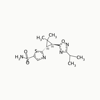 CC(C)c1noc([C@H]2[C@H](c3ncc(S(N)(=O)=O)s3)C2(C)C)n1